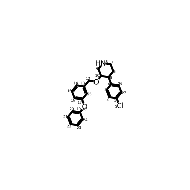 Clc1ccc(C2CCNCC2OCc2cccc(Oc3ccccc3)c2)cc1